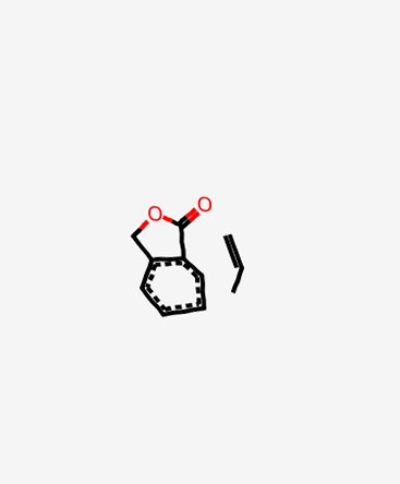 C=CC.O=C1OCc2ccccc21